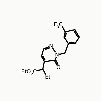 CCOC(=O)C(CC)c1ccnn(Cc2cccc(C(F)(F)F)c2)c1=O